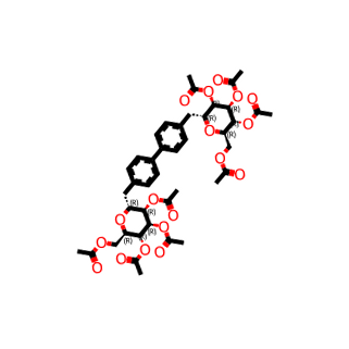 CC(=O)OC[C@H]1O[C@H](Cc2ccc(-c3ccc(C[C@H]4O[C@H](COC(C)=O)[C@@H](OC(C)=O)[C@H](OC(C)=O)[C@@H]4OC(C)=O)cc3)cc2)[C@@H](OC(C)=O)[C@@H](OC(C)=O)[C@@H]1OC(C)=O